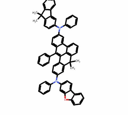 CC1(C)c2ccccc2-c2cc(N(c3ccccc3)c3ccc4c(-c5ccccc5)c5c6c(cccc6c4c3)C(C)(C)c3cc(N(c4ccccc4)c4ccc6c(c4)oc4ccccc46)ccc3-5)ccc21